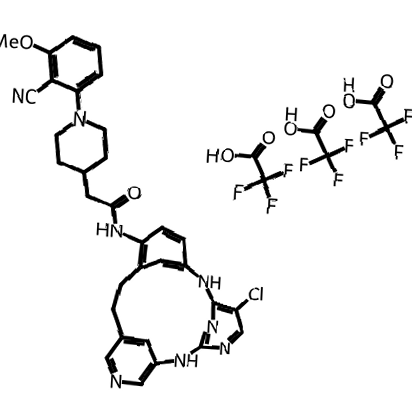 COc1cccc(N2CCC(CC(=O)Nc3ccc4cc3CCc3cncc(c3)Nc3ncc(Cl)c(n3)N4)CC2)c1C#N.O=C(O)C(F)(F)F.O=C(O)C(F)(F)F.O=C(O)C(F)(F)F